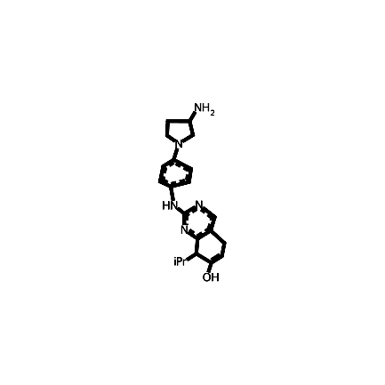 CC(C)C1C(O)=CCc2cnc(Nc3ccc(N4CCC(N)C4)cc3)nc21